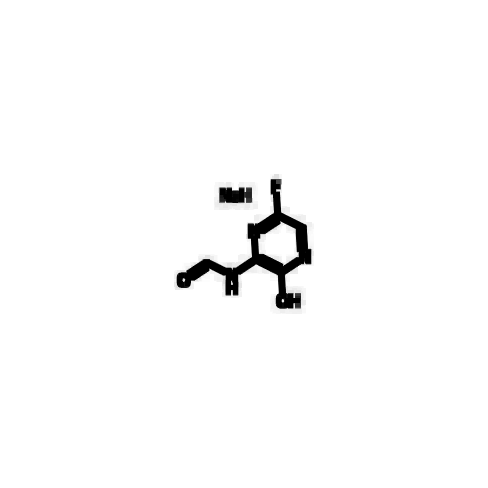 O=CNc1nc(F)cnc1O.[NaH]